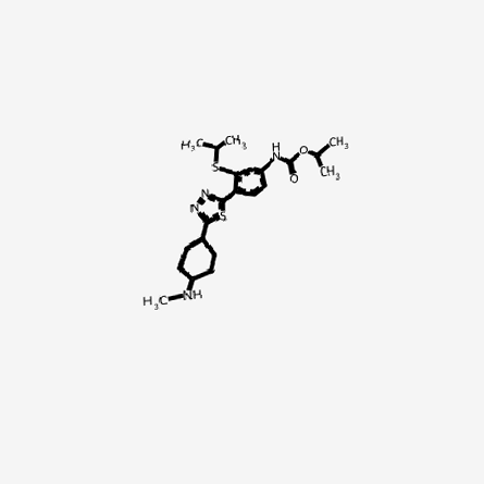 CNC1CCC(c2nnc(-c3ccc(NC(=O)OC(C)C)cc3SC(C)C)s2)CC1